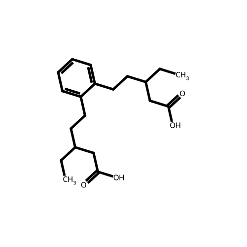 CCC(CCc1ccccc1CCC(CC)CC(=O)O)CC(=O)O